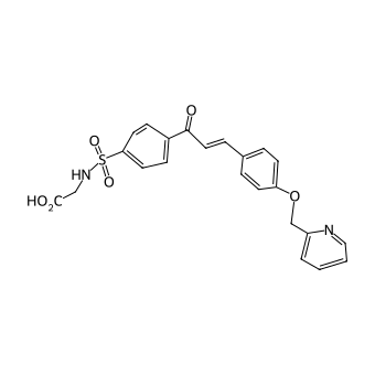 O=C(O)CNS(=O)(=O)c1ccc(C(=O)/C=C/c2ccc(OCc3ccccn3)cc2)cc1